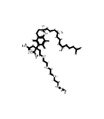 Cc1c(C)c(C(CCOCCOCCOCCN=[N+]=[N-])(CC(=O)O)C(=O)O)c(C)c2c1O[C@](C)(CCC[C@H](C)CCC[C@H](C)CCCC(C)C)CC2